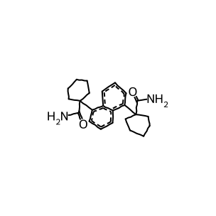 NC(=O)C1(c2cccc3c(C4(C(N)=O)CCCCC4)cccc23)CCCCC1